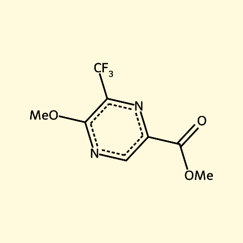 COC(=O)c1cnc(OC)c(C(F)(F)F)n1